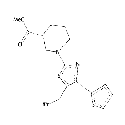 COC(=O)C1CCCN(c2nc(-c3cccs3)c(CC(C)C)s2)C1